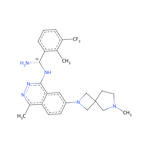 Cc1c([C@@H](N)Nc2nnc(C)c3ccc(N4CC5(CCN(C)C5)C4)cc23)cccc1C(F)(F)F